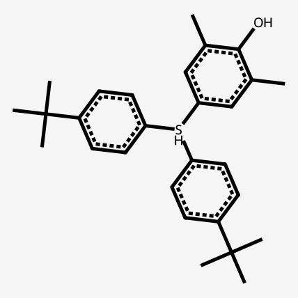 Cc1cc([SH](c2ccc(C(C)(C)C)cc2)c2ccc(C(C)(C)C)cc2)cc(C)c1O